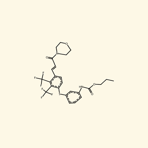 CCCOC(=O)Nc1cccc(Sc2ccc(C=CC(=O)N3CCOCC3)c(C(F)(F)F)c2C(F)(F)F)c1